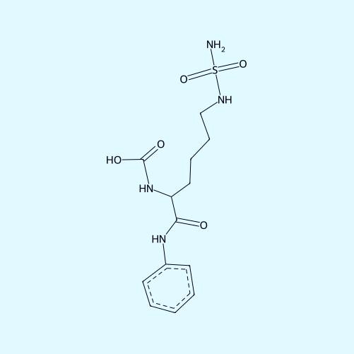 NS(=O)(=O)NCCCCC(NC(=O)O)C(=O)Nc1ccccc1